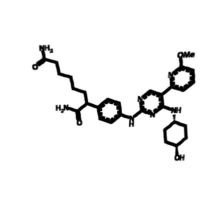 COc1cccc(-c2cnc(Nc3ccc(C(CCCCCC(N)=O)C(N)=O)cc3)nc2N[C@H]2CC[C@H](O)CC2)n1